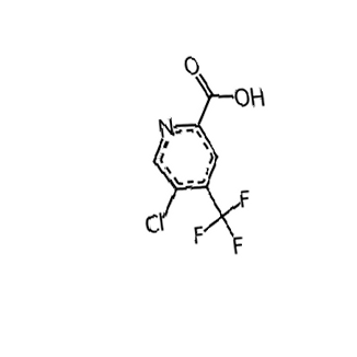 O=C(O)c1cc(C(F)(F)F)c(Cl)cn1